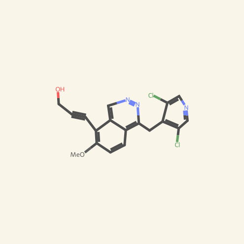 COc1ccc2c(Cc3c(Cl)cncc3Cl)nncc2c1C#CCO